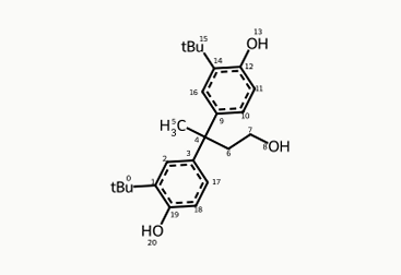 CC(C)(C)c1cc(C(C)(CCO)c2ccc(O)c(C(C)(C)C)c2)ccc1O